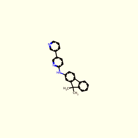 CC1(C)c2ccccc2-c2ccc(Nc3ccc(-c4cccnc4)cn3)cc21